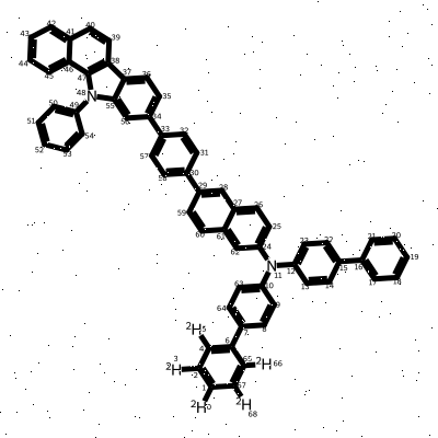 [2H]c1c([2H])c([2H])c(-c2ccc(N(c3ccc(-c4ccccc4)cc3)c3ccc4cc(-c5ccc(-c6ccc7c8ccc9ccccc9c8n(-c8ccccc8)c7c6)cc5)ccc4c3)cc2)c([2H])c1[2H]